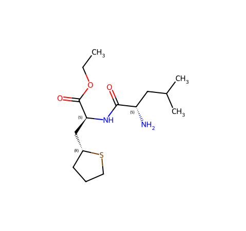 CCOC(=O)[C@H](C[C@H]1CCCS1)NC(=O)[C@@H](N)CC(C)C